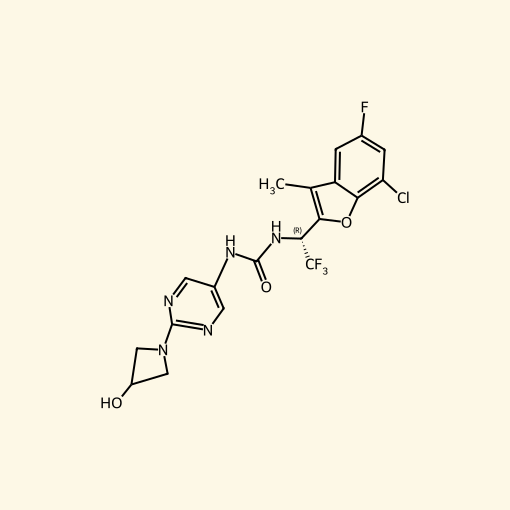 Cc1c([C@@H](NC(=O)Nc2cnc(N3CC(O)C3)nc2)C(F)(F)F)oc2c(Cl)cc(F)cc12